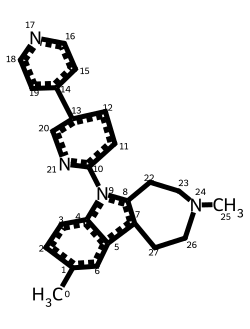 Cc1ccc2c(c1)c1c(n2-c2ccc(-c3ccncc3)cn2)CCN(C)CC1